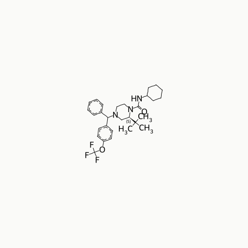 CC(C)(C)[C@H]1CN(C(c2ccccc2)c2ccc(OC(F)(F)F)cc2)CCN1C(=O)NC1CCCCC1